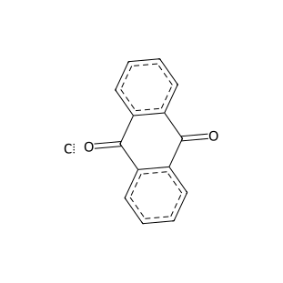 O=C1c2ccccc2C(=O)c2ccccc21.[C]